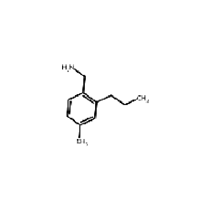 CCCc1cc(C)ccc1CN